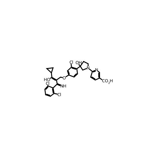 N=C(/C(COc1ccc(C2(O)CCN(c3ccc(C(=O)O)cn3)C2)c(Cl)c1)=C(\O)C1CC1)c1c(Cl)cccc1Cl